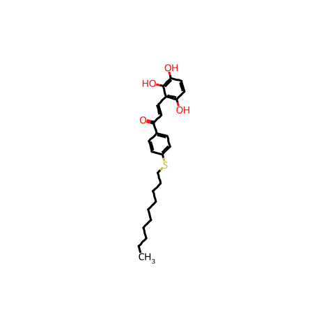 CCCCCCCCCCSc1ccc(C(=O)C=Cc2c(O)ccc(O)c2O)cc1